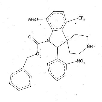 COc1ccc(C(F)(F)F)c2c1N(C(=O)OCc1ccccc1)C(c1ccccc1[N+](=O)[O-])C21CCNCC1